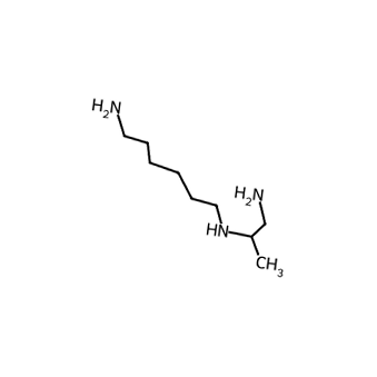 CC(CN)NCCCCCCN